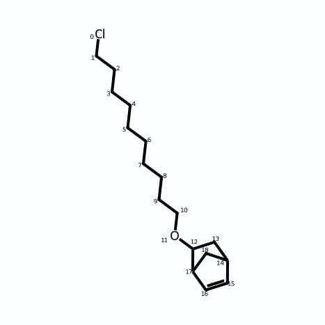 ClCCCCCCCCCCOC1CC2C=CC1C2